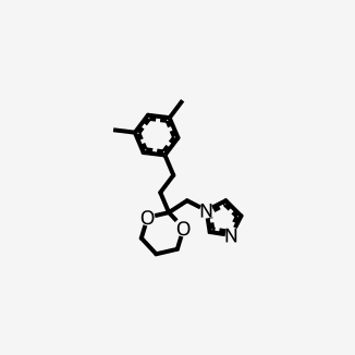 Cc1cc(C)cc(CCC2(Cn3ccnc3)OCCCO2)c1